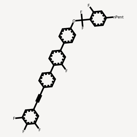 CCCCCc1ccc(C(F)(F)Oc2ccc(-c3ccc(-c4ccc(C#Cc5cc(F)c(F)c(F)c5)cc4)c(F)c3)cc2)c(F)c1